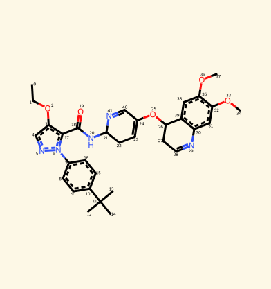 CCOc1cnn(-c2ccc(C(C)(C)C)cc2)c1C(=O)NC1CC=C(OC2CC=Nc3cc(OC)c(OC)cc32)C=N1